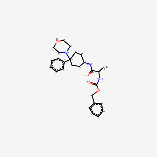 CC(NC(=O)OCc1ccccc1)C(=O)NC1CCC(c2ccccc2)(N2CCOCC2)CC1